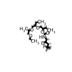 CCOCC(C)OCC(CC)OCC(CC)OC(=O)NCC(=O)CC(F)(F)F